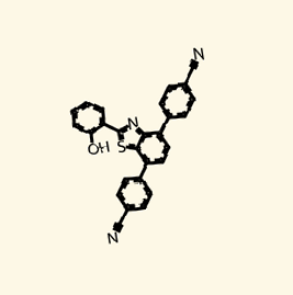 N#Cc1ccc(-c2ccc(-c3ccc(C#N)cc3)c3sc(-c4ccccc4O)nc23)cc1